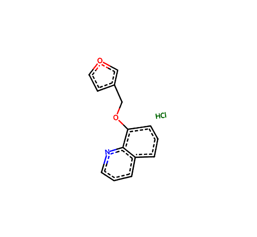 Cl.c1cnc2c(OCc3ccoc3)cccc2c1